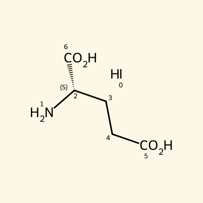 I.N[C@@H](CCC(=O)O)C(=O)O